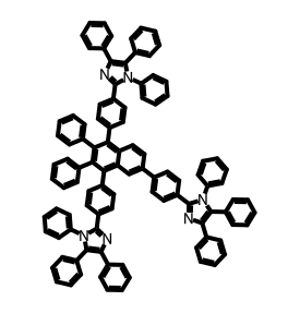 c1ccc(-c2nc(-c3ccc(-c4ccc5c(-c6ccc(-c7nc(-c8ccccc8)c(-c8ccccc8)n7-c7ccccc7)cc6)c(-c6ccccc6)c(-c6ccccc6)c(-c6ccc(-c7nc(-c8ccccc8)c(-c8ccccc8)n7-c7ccccc7)cc6)c5c4)cc3)n(-c3ccccc3)c2-c2ccccc2)cc1